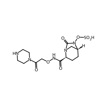 O=C(NOCC(=O)N1CCNCC1)[C@@H]1CC[C@@H]2CN1C(=O)N2OS(=O)(=O)O